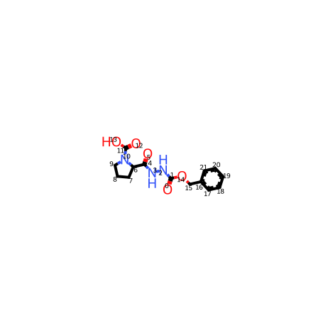 O=C(NNC(=O)C1CCCN1C(=O)O)OCc1ccccc1